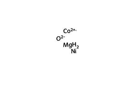 [Co+2].[MgH2].[Ni].[O-2]